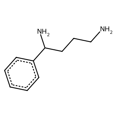 NCCCC(N)c1ccccc1